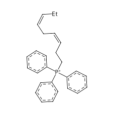 CC/C=C\C/C=C\CC[P+](c1ccccc1)(c1ccccc1)c1ccccc1